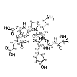 C[C@H](N)C(=O)NCC(=O)N[C@@H](Cc1ccc(O)cc1)C(=O)N[C@@H](CCCCN)C(=O)N1CCC[C@H]1C(=O)N[C@@H](CC(=O)O)C(=O)N[C@@H](CCC(=O)O)C(=O)O